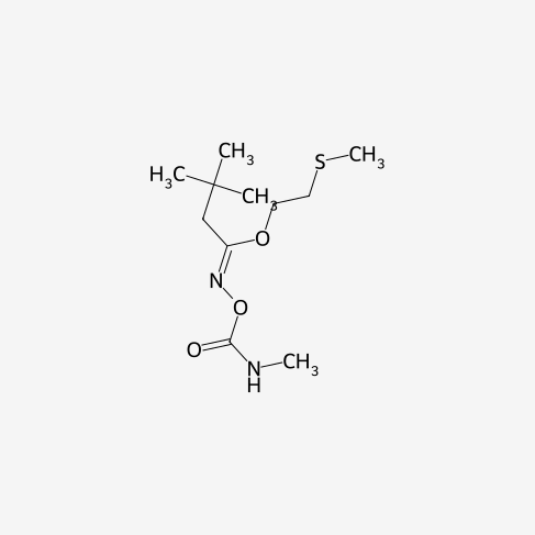 CNC(=O)ON=C(CC(C)(C)C)OCCSC